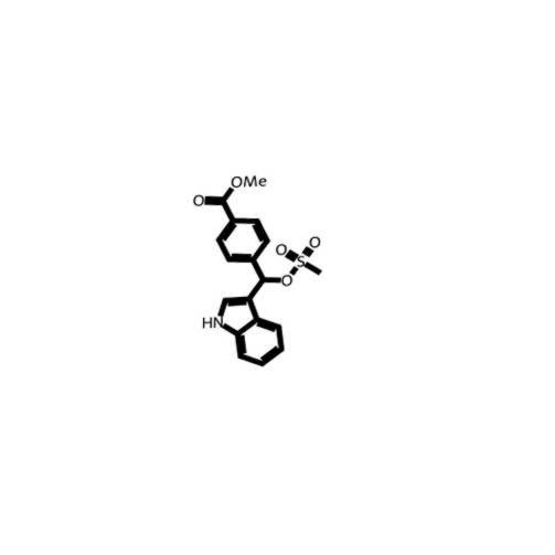 COC(=O)c1ccc(C(OS(C)(=O)=O)c2c[nH]c3ccccc23)cc1